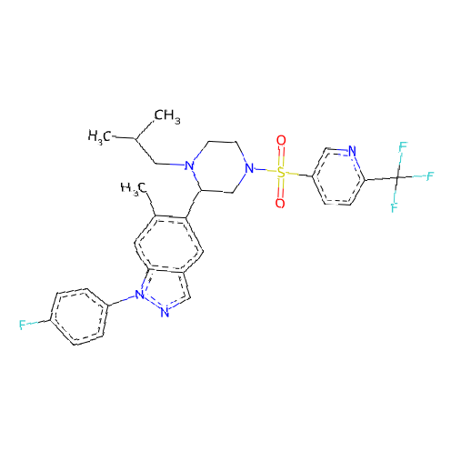 Cc1cc2c(cnn2-c2ccc(F)cc2)cc1C1CN(S(=O)(=O)c2ccc(C(F)(F)F)nc2)CCN1CC(C)C